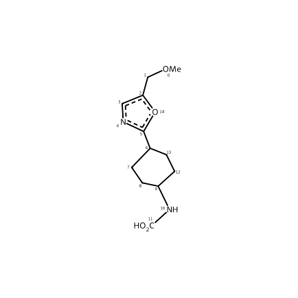 COCc1cnc(C2CCC(NC(=O)O)CC2)o1